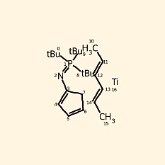 CC(C)(C)P(=NC1=CC=CC1)(C(C)(C)C)C(C)(C)C.CC=CC=CC.[Ti]